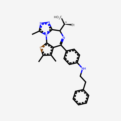 CC[C@H](C(=O)O)C1N=C(c2ccc(NCCc3ccccc3)cc2)c2c(sc(C)c2C)-n2c(C)nnc21